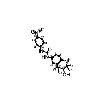 CN1c2ccc(NC(=O)Nc3ccc([N+](=O)[O-])cc3)cc2C(C)(C)C(O)C1(C)C